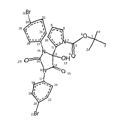 CC(C)(C)OC(=O)n1cccc1C1(O)C(=O)N(c2ccc(Br)cc2)C(=O)N1c1ccc(Br)cc1